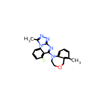 Cc1cccc2c1COCCN2c1nc2nnc(C)n2c2cccc(F)c12